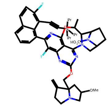 C=C1CCN2CC(OC)CC12COc1nc2c3c(nc(-c4cccc5ccc(F)c(C#C[Si](C(C)C)(C(C)C)C(C)C)c45)c(F)c3n1)OC(C)C1C3CCC(CN21)N3C(=O)O